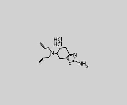 C=CCN(CC=C)C1CCc2nc(N)sc2C1.Cl.Cl